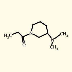 CCC(=O)N1CCCC(N(C)C)C1